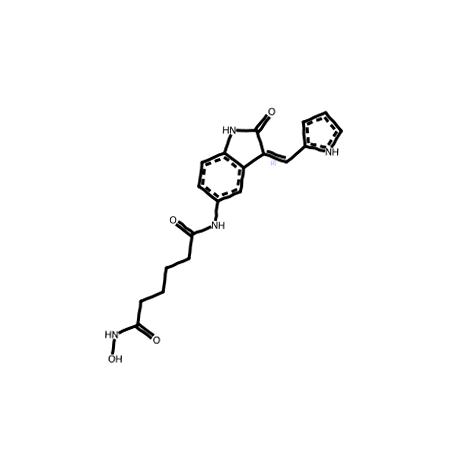 O=C(CCCCC(=O)Nc1ccc2c(c1)/C(=C/c1ccc[nH]1)C(=O)N2)NO